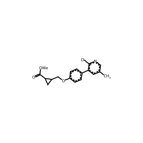 COC(=O)C1CC1COc1ccc(-c2cc(C)cnc2Cl)cc1